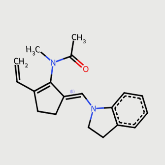 C=CC1=C(N(C)C(C)=O)/C(=C/N2CCc3ccccc32)CC1